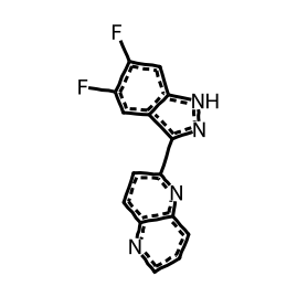 Fc1cc2[nH]nc(-c3ccc4ncccc4n3)c2cc1F